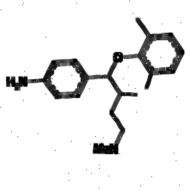 CNCCC(C)C(Oc1c(C)cccc1C)c1ccc(N)cc1